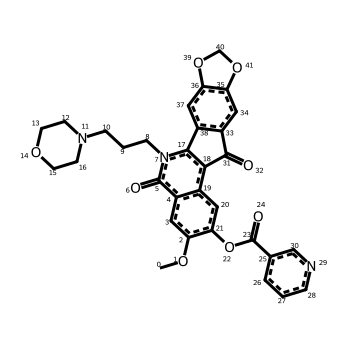 COc1cc2c(=O)n(CCCN3CCOCC3)c3c(c2cc1OC(=O)c1cccnc1)C(=O)c1cc2c(cc1-3)OCO2